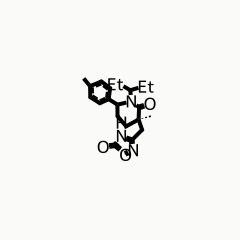 CCC(CC)N1C(=O)[C@@](C)(Cc2noc(=O)[nH]2)CCC1c1ccc(C)cc1